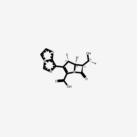 C[C@@H](O)[C@H]1C(=O)N2C(C(=O)O)=C(c3ncn4ccsc34)[C@H](C)[C@@H]12